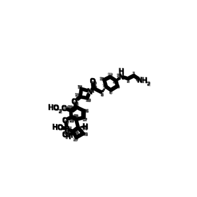 NCCN[C@H]1CC[C@H](CC(=O)N2CC(Oc3ccc4c(c3C(=O)O)O[B-](O)(O)[C@@H]3CC[C@H]43)C2)CC1